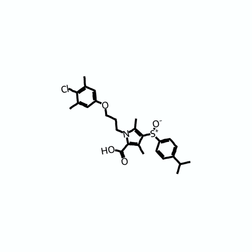 Cc1cc(OCCCn2c(C)c([S+]([O-])c3ccc(C(C)C)cc3)c(C)c2C(=O)O)cc(C)c1Cl